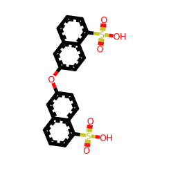 O=S(=O)(O)c1cccc2cc(Oc3ccc4c(S(=O)(=O)O)cccc4c3)ccc12